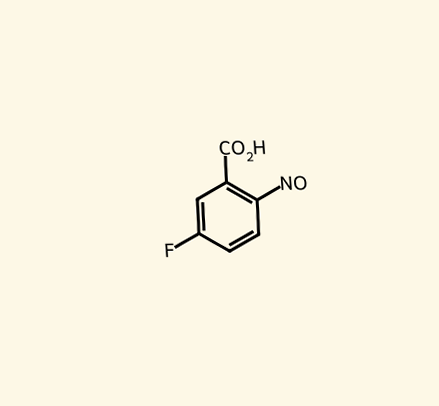 O=Nc1ccc(F)cc1C(=O)O